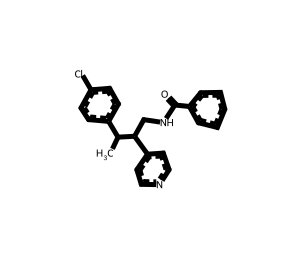 CC(c1ccc(Cl)cc1)C(CNC(=O)c1ccccc1)c1ccncc1